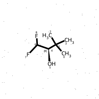 CC(C)(C)[C@@H](O)C(F)F